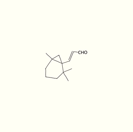 CC1(C)CCCC2(C)CC12C=CC=O